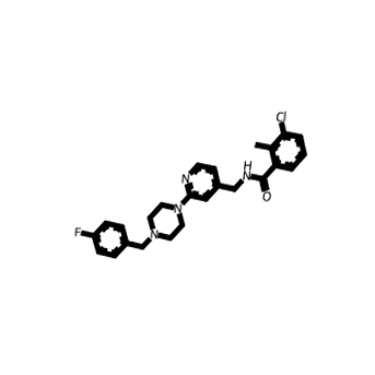 Cc1c(Cl)cccc1C(=O)NCc1ccnc(N2CCN(Cc3ccc(F)cc3)CC2)c1